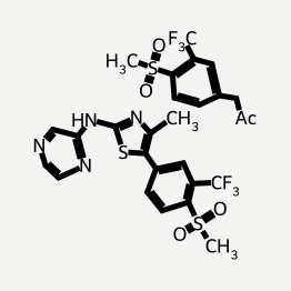 CC(=O)Cc1ccc(S(C)(=O)=O)c(C(F)(F)F)c1.Cc1nc(Nc2cnccn2)sc1-c1ccc(S(C)(=O)=O)c(C(F)(F)F)c1